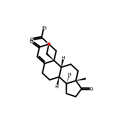 CCC(=O)OC[C@]12CCC(=O)C=C1CC[C@@H]1[C@H]2CC[C@]2(C)C(=O)CC[C@@H]12